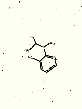 CCCCN(c1ncccc1C#N)C(CCC)CCC